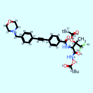 CC(C)(C)C(=O)ONC(=O)C(NC(=O)c1ccc(C#Cc2ccc(CN3CCOCC3)cc2)cc1)C(C)(OC(=O)C(C)(C)C)C(F)F